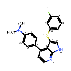 CN(C)c1ccc(-c2ccnc3[nH]cc(Sc4cccc(F)c4)c23)cc1